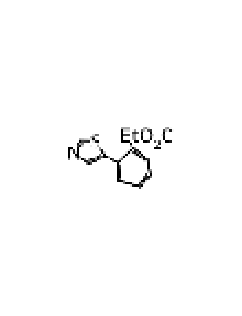 CCOC(=O)c1ccccc1-c1cncs1